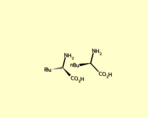 CCCC[C@@H](N)C(=O)O.CC[C@@H](C)[C@@H](N)C(=O)O